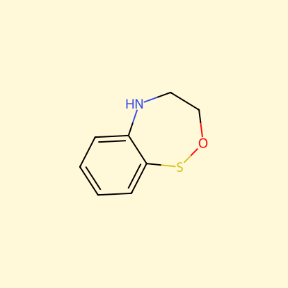 c1ccc2c(c1)NCCOS2